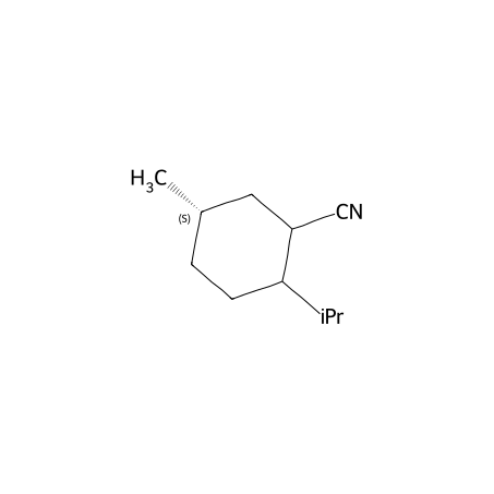 CC(C)C1CC[C@H](C)CC1C#N